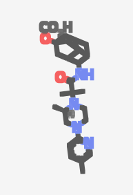 Cc1ccc(N2CCN(C(C)(C)C(=O)NC3C4CC5CC3CC(OC(=O)O)(C5)C4)[C@H](C)C2)nc1